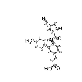 CC1CCN(c2cc(C=CC(=O)O)ccc2NC(=O)c2cc(C#N)c[nH]2)CC1